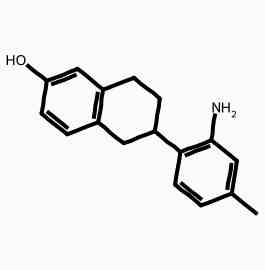 Cc1ccc(C2CCc3cc(O)ccc3C2)c(N)c1